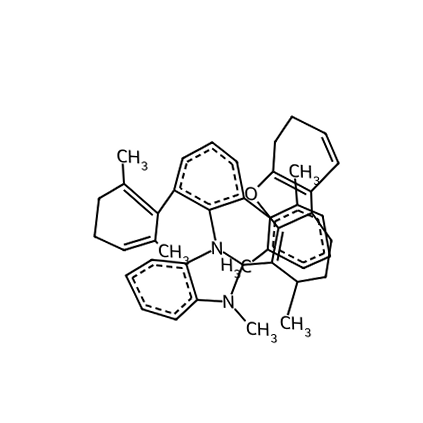 CC1=CCCC(C)=C1c1cccc(-c2c(C)cccc2C)c1N1c2ccccc2N(C)C1C1=C2OC3=C(C=CCC3)C2CCC1C